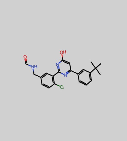 CC(C)(C)c1cccc(-c2cc(O)nc(-c3cc(CNC=O)ccc3Cl)n2)c1